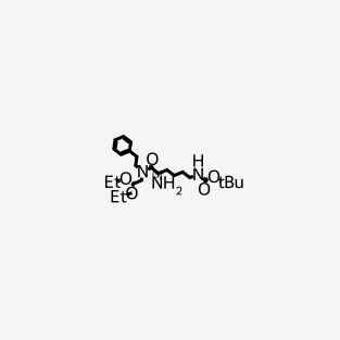 CCOC(CN(CCc1ccccc1)C(=O)[C@@H](N)CCCCNC(=O)OC(C)(C)C)OCC